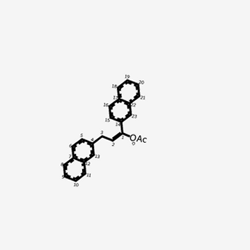 CC(=O)OC(=CCc1ccc2ccccc2c1)c1ccc2ccccc2c1